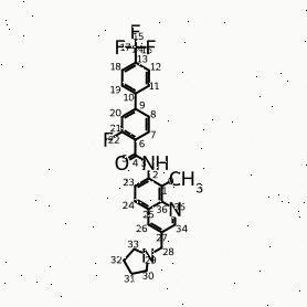 Cc1c(NC(=O)c2ccc(-c3ccc(C(F)(F)F)cc3)cc2F)ccc2cc(CN3CCCC3)cnc12